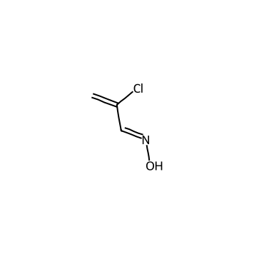 C=C(Cl)C=NO